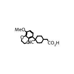 COc1ccc(C2(C#N)CCC(CC(=O)O)CC2)c2c1OCCO2